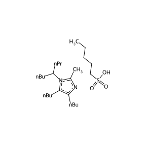 CCCCCS(=O)(=O)O.CCCCc1nc(C)n(C(CCC)CCCC)c1CCCC